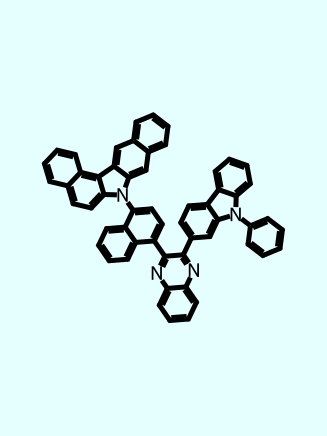 c1ccc(-n2c3ccccc3c3ccc(-c4nc5ccccc5nc4-c4ccc(-n5c6cc7ccccc7cc6c6c7ccccc7ccc65)c5ccccc45)cc32)cc1